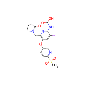 CS(=O)(=O)c1ccc(Oc2cc(I)c(NC(=O)O)nc2CN2CCCC2=O)cn1